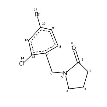 O=C1CCCN1Cc1ccc(Br)cc1Cl